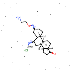 CO/N=C1\C[C@@H]2[C@H](CC[C@]3(C)C(=O)CC[C@@H]23)[C@@]2(C)CC/C(=N/OCCN)CC12.Cl